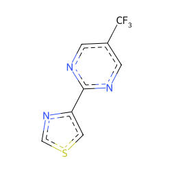 FC(F)(F)c1cnc(-c2cscn2)nc1